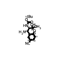 CC(C)(C)OC(=O)N[C@@H]1[C@@H](N)c2cc(C#N)ccc2OC1(C)C